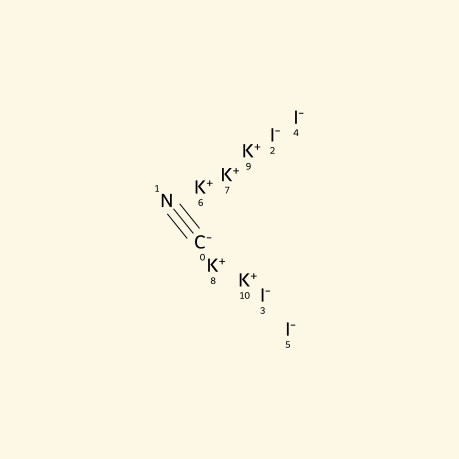 [C-]#N.[I-].[I-].[I-].[I-].[K+].[K+].[K+].[K+].[K+]